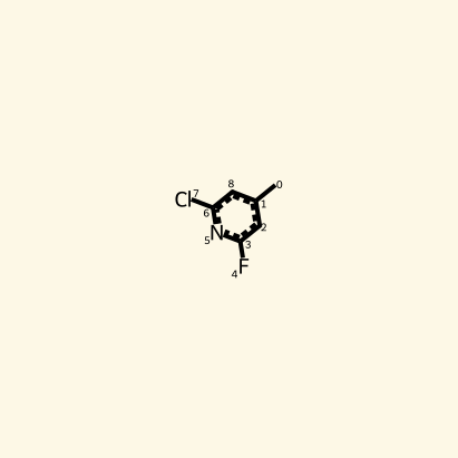 Cc1cc(F)nc(Cl)c1